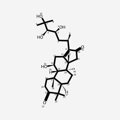 C[C@H](C[C@H](O)[C@@H](O)C(C)(C)O)C1=C2C[C@H](O)[C@H]3[C@@]4(C)CCC(=O)C(C)(C)[C@@H]4CC[C@]3(C)[C@@]2(C)CC1=O